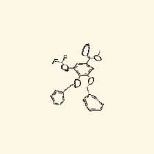 COC(=O)c1cc(OCc2ccccc2)c(OCc2ccccc2)c(OC(F)F)c1